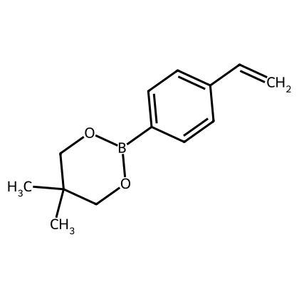 C=Cc1ccc(B2OCC(C)(C)CO2)cc1